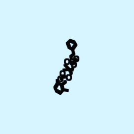 Cc1cccc(C)c1CP1(=O)OCC2(COP(=O)(CCc3ccccc3)OC2)CO1